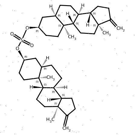 C=C1CC[C@H]2[C@@H]3CC[C@@H]4C[C@H](OS(=O)(=O)O[C@@H]5CC[C@@]6(C)[C@H](CC[C@@H]7[C@@H]6CC[C@]6(C)C(=C)CC[C@@H]76)C5)CC[C@]4(C)[C@H]3CC[C@]12C